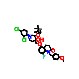 COc1ccc(CN2C(=O)CCc3c(OC[C@@]4(O)CCN(c5ccc(Cl)cc5Cl)C[C@H]4O[Si](C)(C)C(C)(C)C)ccc(F)c32)cc1